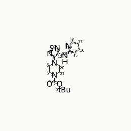 CC(C)(C)OC(=O)N1CCN(c2nsnc2Nc2ccccn2)CC1